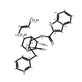 O=C(N[C@@H]1C2CCN(CC2)[C@H]1Cc1cccnc1)c1cc2ccccc2o1.O=C(O)C=CC(=O)O